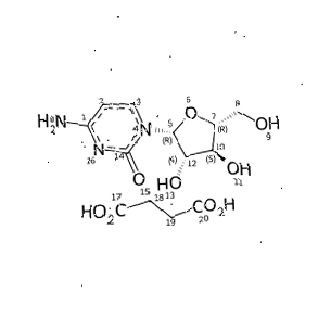 Nc1ccn([C@@H]2O[C@H](CO)[C@@H](O)[C@@H]2O)c(=O)n1.O=C(O)CCC(=O)O